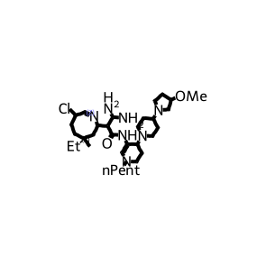 CCCCCN1C=C(NC(=O)C(C(N)N)C2C[C@](C)(CC)CCC(Cl)/C=N\2)C(N2CCC(N3CCC(OC)C3)CC2)CC1